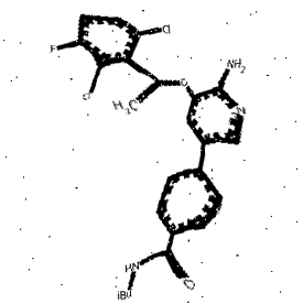 CCC(C)NC(=O)c1ccc(-c2cnc(N)c(OC(C)c3c(Cl)ccc(F)c3Cl)c2)cc1